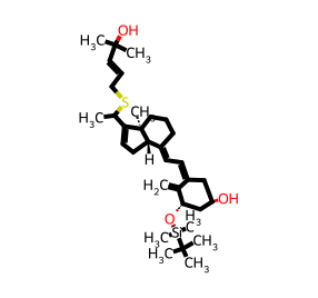 C=C1/C(=C\C=C2/CCC[C@]3(C)C(C(C)SC/C=C/C(C)(C)O)=CC[C@@H]23)C[C@@H](O)C[C@@H]1O[Si](C)(C)C(C)(C)C